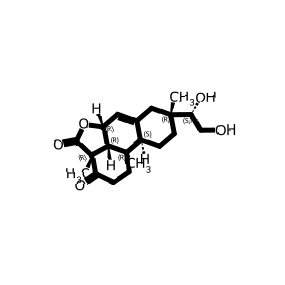 C[C@@]1([C@H](O)CO)CC[C@@H]2C(=C[C@H]3OC(=O)[C@@]4(C)C(=O)CC[C@@]2(C)[C@@H]34)C1